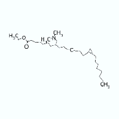 CCCCCCCCC1CC1CCCCCCCC(CCCCCCC(=O)OCC)CN(C)C